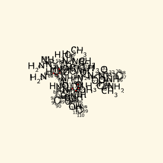 CC[C@H](C)[C@H](NC(=O)[C@@H](NC(=O)[C@H](Cc1ccc(O)cc1)NC(=O)CNC(=O)CNC(=O)[C@H](Cc1ccccc1)NC(=O)[C@@H](N)C(C)C)C(C)C)C(=O)N[C@@H](CCCNC(=N)N)C(=O)N[C@@H](CCCCN)C(=O)N[C@@H](Cc1ccccc1)C(=O)N[C@@H](Cc1ccccc1)C(=O)N[C@@H](CCC(=O)O)C(=O)N[C@@H](Cc1ccccc1)C(=O)O